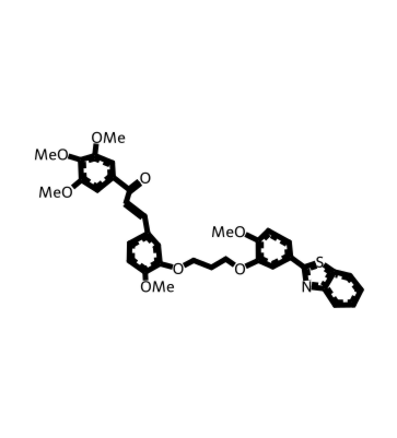 COc1ccc(/C=C/C(=O)c2cc(OC)c(OC)c(OC)c2)cc1OCCCOc1cc(-c2nc3ccccc3s2)ccc1OC